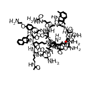 CC(=O)NCCCC[C@H](NC(=O)[C@](C)(CCCCN)NC(=O)[C@H](Cc1ccc2ccccc2c1)NC(=O)[C@H](Cc1ccc(OCCN)cc1)NC(=O)[C@H]1NC(=O)[C@H](CCCNC(N)=O)NC(=O)[C@H](Cc2c[nH]c3c(C)cccc23)NC(=O)[C@H]([C@@H](C)O)NC(=O)[C@H](CC(N)=O)NC(=O)[C@@H](NC(C)=O)C(C)(C)SSC1(C)C)C(=O)N[C@@H](CC(N)=O)C(=O)NC(C)(C)C(=O)N[C@H](CCCCN)C(N)=O